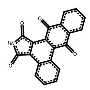 O=c1[nH]c(=O)c2c1c1ccccc1c1c(=O)c3ccccc3c(=O)c12